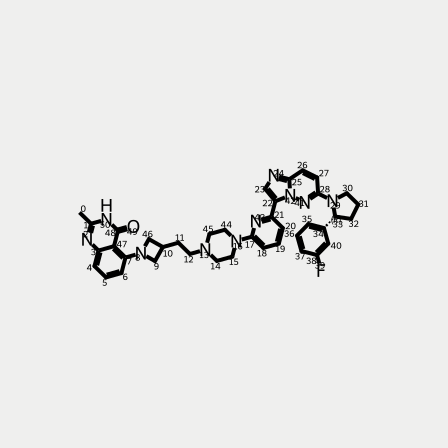 Cc1nc2cccc(N3CC(CCN4CCN(c5cccc(-c6cnc7ccc(N8CCC[C@@H]8c8cccc(F)c8)nn67)n5)CC4)C3)c2c(=O)[nH]1